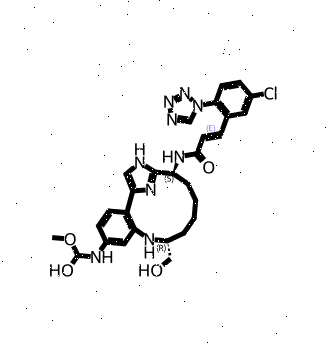 COC(O)Nc1ccc2c(c1)N[C@@H](CO)CCCC[C@H](NC(=O)/C=C/c1cc(Cl)ccc1-n1cnnn1)c1nc-2c[nH]1